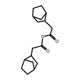 O=C(CC1CC2CCC1C2)OC(=O)CC1CC2CCC1C2